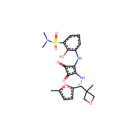 Cc1ccc([C@H](Nc2c(Nc3cccc(S(=O)(=O)N(C)C)c3O)c(=O)c2=O)C2(C)COC2)o1